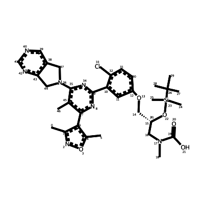 Cc1noc(C)c1-c1nc(-c2cc(OC[C@@H](CN(C)C(=O)O)O[Si](C)(C)C(C)(C)C)ccc2Cl)nc(N2Cc3cncnc3C2)c1C